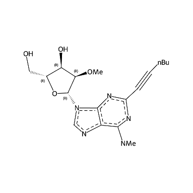 CCCCC#Cc1nc(NC)c2ncn([C@@H]3O[C@H](CO)[C@@H](O)[C@H]3OC)c2n1